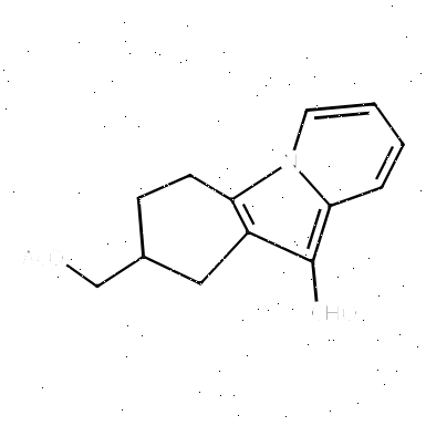 CC(=O)OCC1CCc2c(c(C=O)c3ccccn23)C1